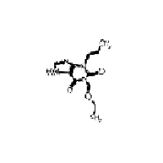 CCCn1c(=O)n(COCC)c(=O)c2[nH]cnc21